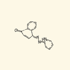 O=C1C=CC(=NN=c2cccc[nH]2)c2ccccc21